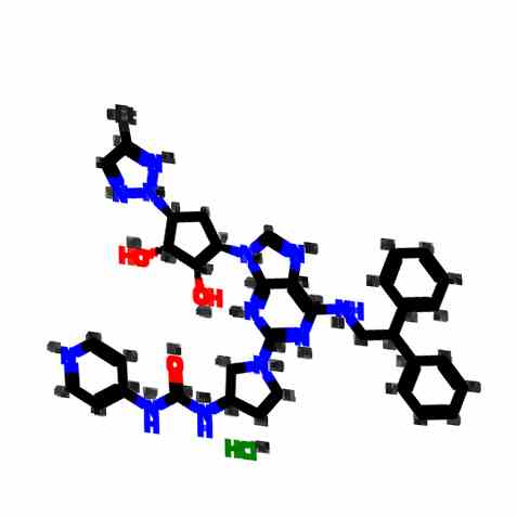 CCc1cnn([C@H]2C[C@@H](n3cnc4c(NCC(c5ccccc5)c5ccccc5)nc(N5CCC(NC(=O)Nc6ccncc6)C5)nc43)[C@H](O)[C@@H]2O)n1.Cl